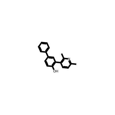 Cc1ccc(-c2cc(-c3ccccc3)ccc2O)c(C)n1